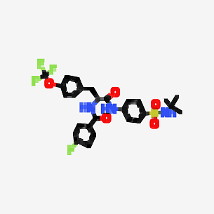 CC(C)(C)NS(=O)(=O)c1ccc(NC(=O)[C@H](Cc2ccc(OC(F)(F)F)cc2)NC(=O)c2ccc(F)cc2)cc1